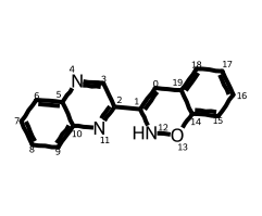 C1=C(c2cnc3ccccc3n2)NOc2ccccc21